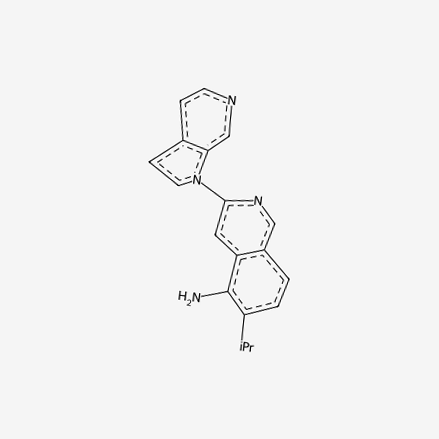 CC(C)c1ccc2cnc(-n3ccc4ccncc43)cc2c1N